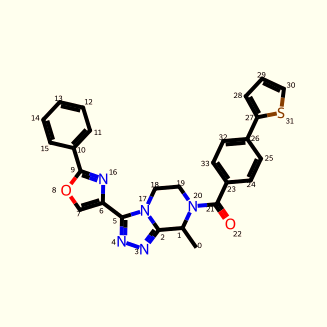 CC1c2nnc(-c3coc(-c4ccccc4)n3)n2CCN1C(=O)c1ccc(-c2cccs2)cc1